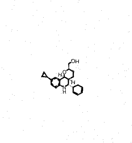 OC[C@H]1CC[C@@H]2[C@H](O1)c1cc(C3CC3)ccc1N[C@H]2C1C=CC=CC1